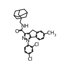 Cc1ccc2c(c1)Cc1c(C(=O)NCC34CC5CC(CC(C5)C3)C4)nn(-c3ccc(Cl)cc3Cl)c1-2